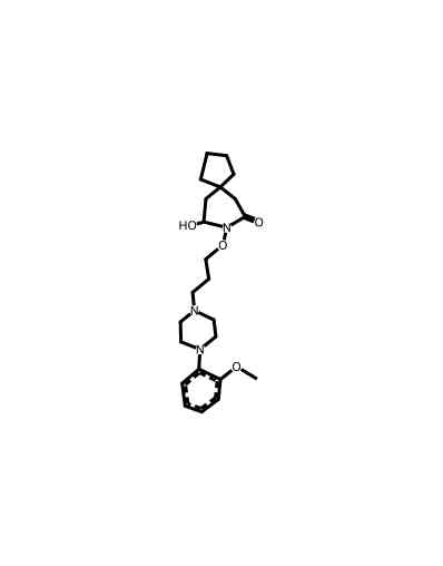 COc1ccccc1N1CCN(CCCON2C(=O)CC3(CCCC3)CC2O)CC1